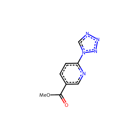 COC(=O)c1ccc(-n2cnnn2)nc1